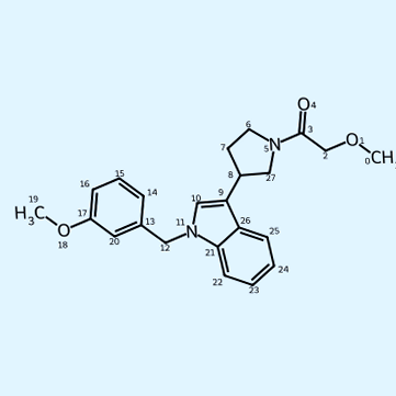 COCC(=O)N1CCC(c2cn(Cc3cccc(OC)c3)c3ccccc23)C1